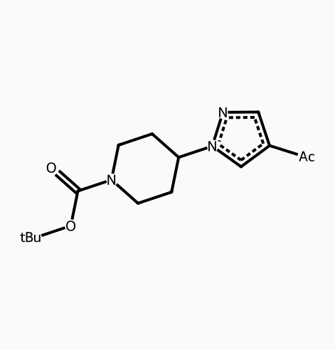 CC(=O)c1cnn(C2CCN(C(=O)OC(C)(C)C)CC2)c1